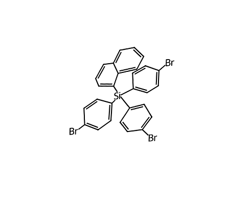 Brc1ccc([Si](c2ccc(Br)cc2)(c2ccc(Br)cc2)c2cccc3ccccc23)cc1